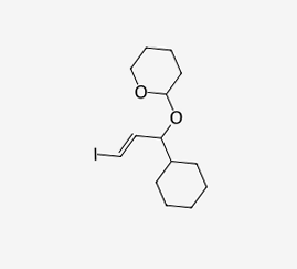 I/C=C/C(OC1CCCCO1)C1CCCCC1